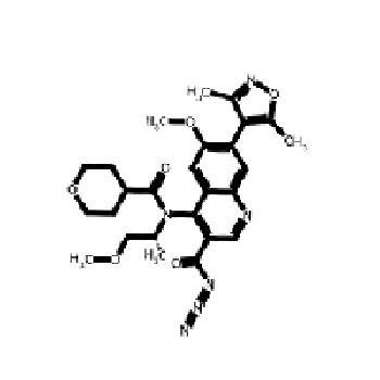 COC[C@@H](C)N(C(=O)C1CCOCC1)c1c(C(=O)N=[N+]=[N-])cnc2cc(-c3c(C)noc3C)c(OC)cc12